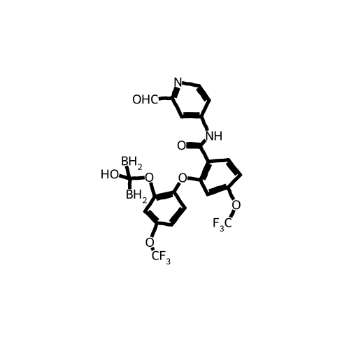 BC(B)(O)Oc1cc(OC(F)(F)F)ccc1Oc1cc(OC(F)(F)F)ccc1C(=O)Nc1ccnc(C=O)c1